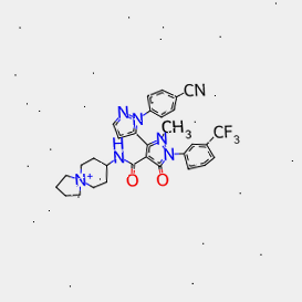 Cn1c(-c2ccnn2-c2ccc(C#N)cc2)c(C(=O)NC2CC[N+]3(CCCC3)CC2)c(=O)n1-c1cccc(C(F)(F)F)c1